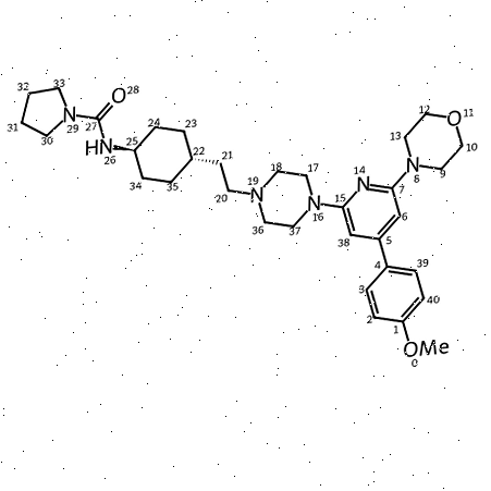 COc1ccc(-c2cc(N3CCOCC3)nc(N3CCN(CC[C@H]4CC[C@H](NC(=O)N5CCCC5)CC4)CC3)c2)cc1